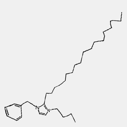 CCCCCCCCCCCCCCCCCc1n(Cc2ccccc2)cc[n+]1CCCC